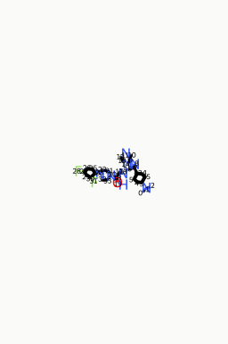 CN(C)c1ccc(-c2nc3cnccn3c2NCC(=O)N2CCN(c3ccc(F)cc3F)CC2)cc1